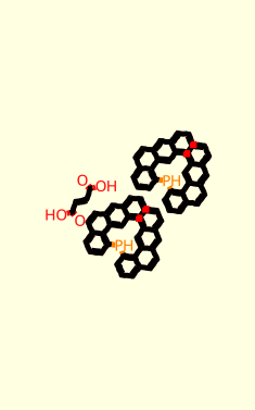 O=C(O)/C=C/C(=O)O.c1ccc2cc3c(ccc4cccc(Pc5cccc6ccc7cc8ccccc8cc7c56)c43)cc2c1.c1ccc2cc3c(ccc4cccc(Pc5cccc6ccc7cc8ccccc8cc7c56)c43)cc2c1